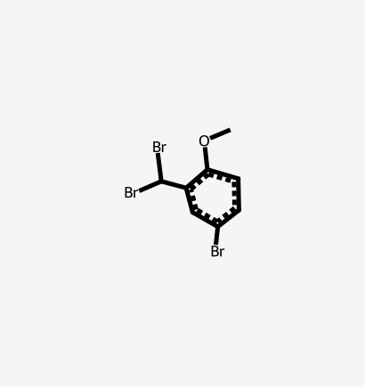 COc1ccc(Br)cc1C(Br)Br